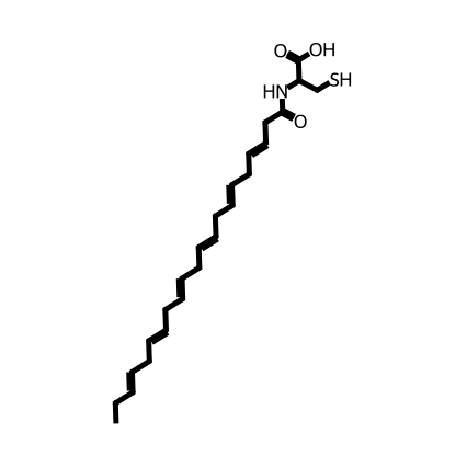 CCC=CCC=CCC=CCC=CCC=CCC=CCC(=O)NC(CS)C(=O)O